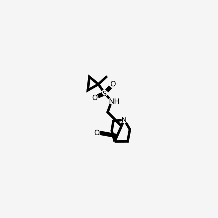 CC1(S(=O)(=O)NCC2C(=O)C3CCN2CC3)CC1